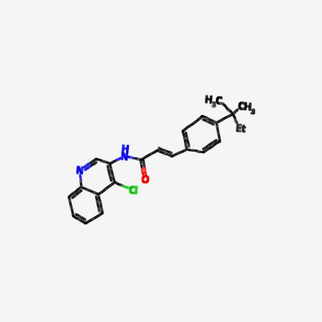 CCC(C)(C)c1ccc(C=CC(=O)Nc2cnc3ccccc3c2Cl)cc1